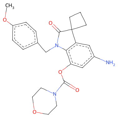 COc1ccc(CN2C(=O)C3(CCC3)c3cc(N)cc(OC(=O)N4CCOCC4)c32)cc1